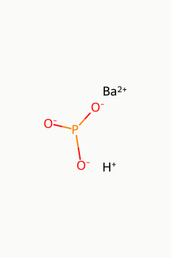 [Ba+2].[H+].[O-]P([O-])[O-]